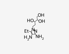 CCc1c(N)c(N)nn1CCC(O)C(O)CO